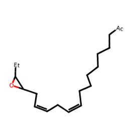 CCC1OC1C/C=C\C/C=C\CCCCCCCC(C)=O